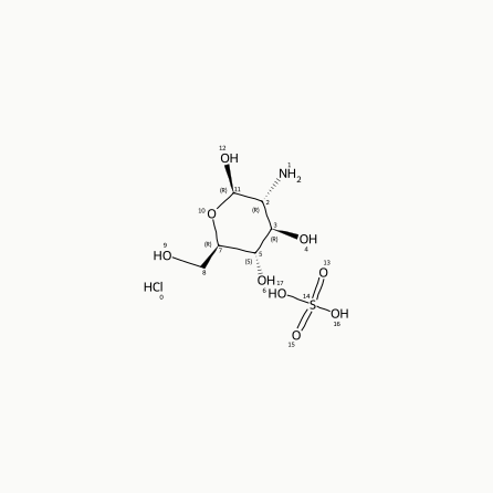 Cl.N[C@@H]1[C@@H](O)[C@H](O)[C@@H](CO)O[C@H]1O.O=S(=O)(O)O